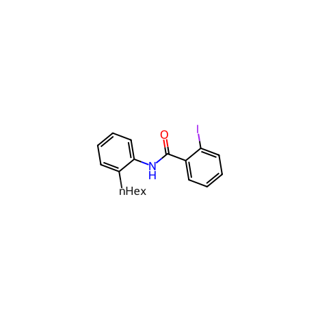 CCCCCCc1ccccc1NC(=O)c1ccccc1I